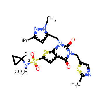 Cc1ncc(Cn2c(=O)c3cc(S(=O)(=O)N(C(=O)O)C4(C)CC4)sc3n(Cc3cc(C(C)C)nn3C)c2=O)s1